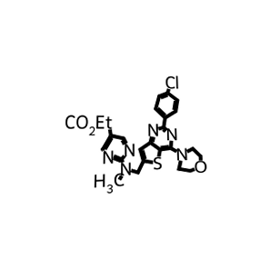 CCOC(=O)c1cnc(N(C)Cc2cc3nc(-c4ccc(Cl)cc4)nc(N4CCOCC4)c3s2)nc1